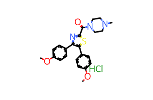 COc1ccc(-c2nc(C(=O)N3CCN(C)CC3)sc2-c2ccc(OC)cc2)cc1.Cl